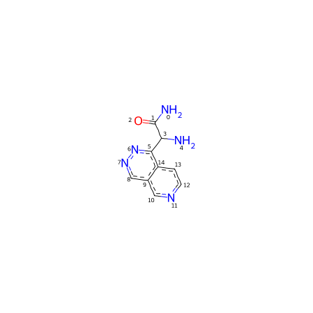 NC(=O)C(N)c1nncc2cnccc12